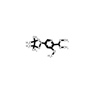 COc1cc(B2OC(C)(C)C(C)(C)O2)cnc1C(OC)OC